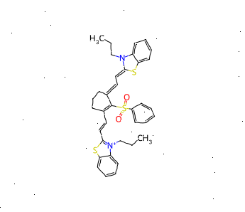 CCCN1/C(=C/C=C2\CCCC(/C=C/c3sc4ccccc4[n+]3CCC)=C2S(=O)(=O)c2ccccc2)Sc2ccccc21